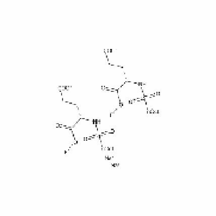 CCCCCCCCS(=O)(=O)N[C@@H](CCC(=O)[O-])C(=O)OF.CCCCCCCCS(=O)(=O)N[C@@H](CCC(=O)[O-])C(=O)OF.[Na+].[Na+]